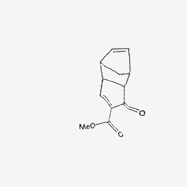 COC(=O)C1=CC2C3C=CC(C3)C2C1=O